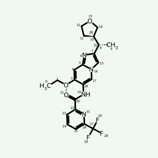 CCOc1cc2nc([C@@H](C)[C@H]3CCOC3)cn2cc1NC(=O)c1cccc(C(F)(F)F)n1